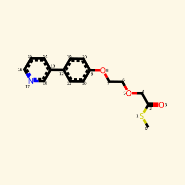 CSC(=O)COCCOc1ccc(-c2cccnc2)cc1